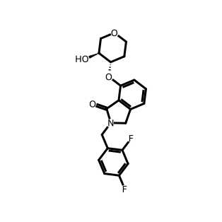 O=C1c2c(cccc2O[C@H]2CCOC[C@@H]2O)CN1Cc1ccc(F)cc1F